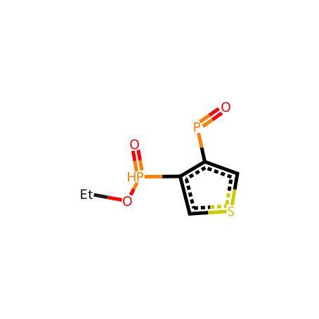 CCO[PH](=O)c1cscc1P=O